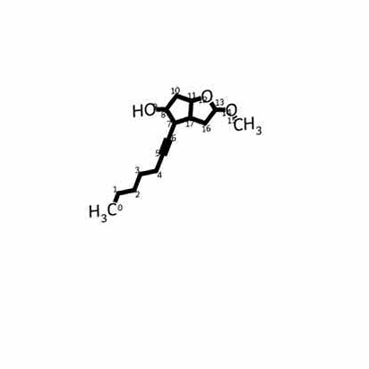 CCCCCC#CC1C(O)CC2OC(OC)CC21